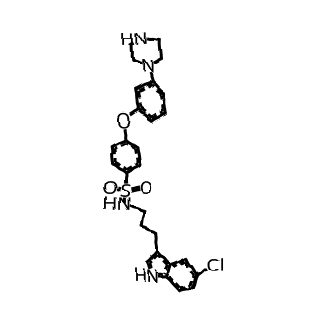 O=S(=O)(NCCCc1c[nH]c2ccc(Cl)cc12)c1ccc(Oc2cccc(N3CCNCC3)c2)cc1